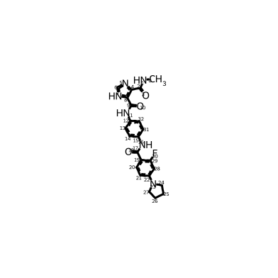 CNC(=O)c1nc[nH]c1C(=O)Nc1ccc(NC(=O)c2ccc(N3CCCC3)cc2F)cc1